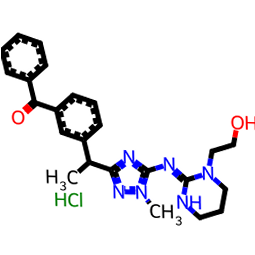 CC(c1cccc(C(=O)c2ccccc2)c1)c1nc(/N=C2\NCCCN2CCO)n(C)n1.Cl